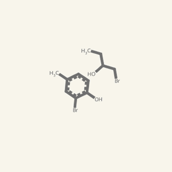 CCC(O)CBr.Cc1ccc(O)c(Br)c1